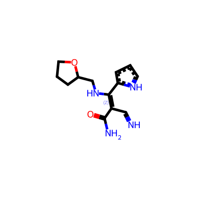 N=C/C(C(N)=O)=C(/NCC1CCCO1)c1ccc[nH]1